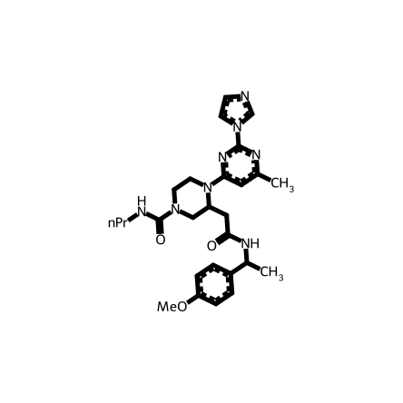 CCCNC(=O)N1CCN(c2cc(C)nc(-n3ccnc3)n2)C(CC(=O)NC(C)c2ccc(OC)cc2)C1